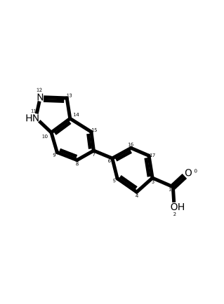 O=C(O)c1ccc(-c2ccc3[nH]ncc3c2)cc1